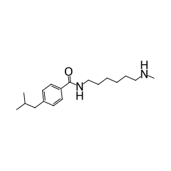 CNCCCCCCNC(=O)c1ccc(CC(C)C)cc1